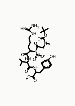 COC(=O)C(Cc1ccc(O)cc1)NC(=O)C(NC(=O)C(CCCNC(=N)N)N(C(=O)CN(C)C(=O)OC(C)(C)C)[N+](=O)[O-])C(C)C